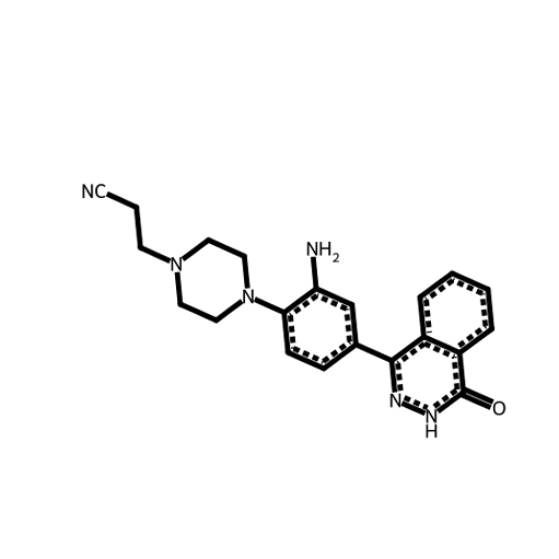 N#CCCN1CCN(c2ccc(-c3n[nH]c(=O)c4ccccc34)cc2N)CC1